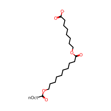 CCCCCCCCC(=O)OCCCCCCCCCC(=O)OCCCCCCCC([O])=O